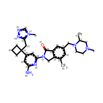 CC(C)C1CN(C)CCN1Cc1cc2c(c(C(F)(F)F)c1)CN(c1cc(C3(Cc4nncn4C)CCC3)cc(N)n1)C2=O